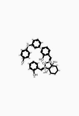 Oc1ccccc1C=[N+]1[Co][N+](=Cc2ccccc2O)[C@@H]2CCCC[C@H]21.[O-]c1ccc(Oc2ccccc2)cc1